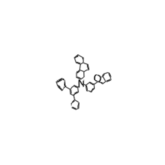 c1ccc(-c2cc(-c3ccccc3)cc(N(c3cccc(-c4cc5ccccc5o4)c3)c3ccc4c(ccc5ccccc54)c3)c2)cc1